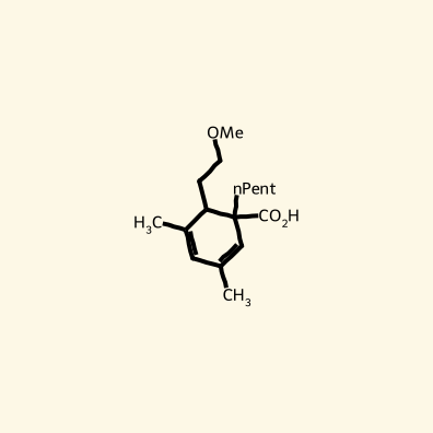 CCCCCC1(C(=O)O)C=C(C)C=C(C)C1CCOC